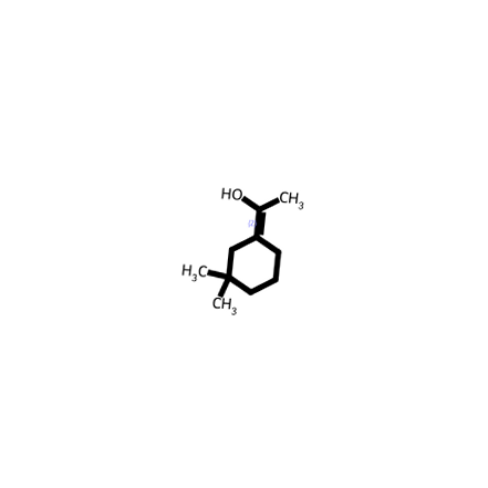 C/C(O)=C1\CCCC(C)(C)C1